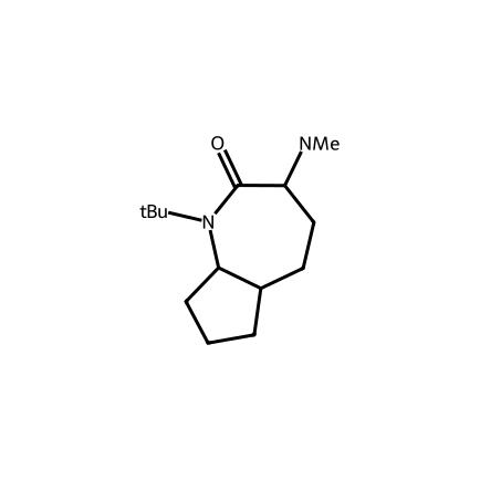 CNC1CCC2CCCC2N(C(C)(C)C)C1=O